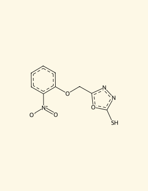 O=[N+]([O-])c1ccccc1OCc1nnc(S)o1